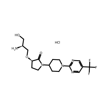 Cl.N[C@@H](CO)CO[C@@H]1CCN(C2CCN(c3ncc(C(F)(F)F)cn3)CC2)C1=O